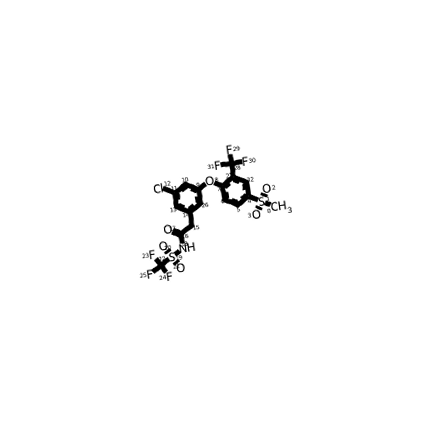 CS(=O)(=O)c1ccc(Oc2cc(Cl)cc(CC(=O)NS(=O)(=O)C(F)(F)F)c2)c(C(F)(F)F)c1